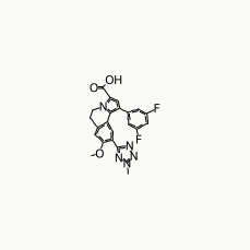 COc1cc2c(cc1-c1nnn(C)n1)-c1c(-c3cc(F)cc(F)c3)cc(C(=O)O)n1CC2